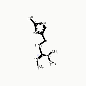 CN(C)/C(=N\[N+](=O)[O-])NCc1cnc(Cl)s1